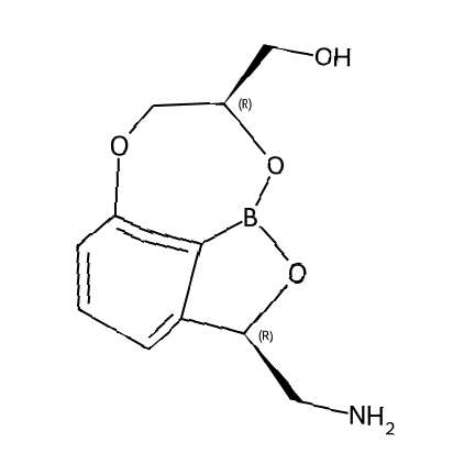 NC[C@@H]1OB2O[C@H](CO)COc3cccc1c32